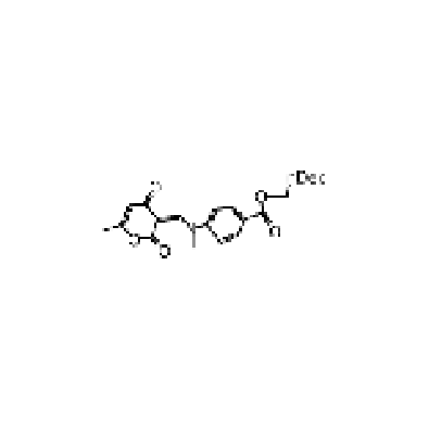 CCCCCCCCCCCOC(=O)c1ccc(NC=C2C(=O)C=C(C)OC2=O)cc1